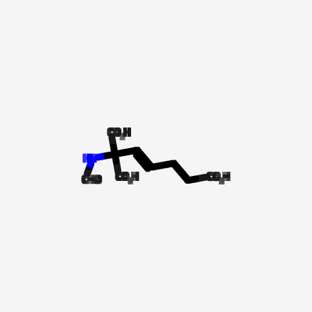 O=CNC(C=CCCC(=O)O)(C(=O)O)C(=O)O